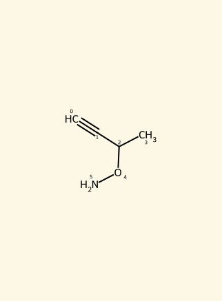 C#CC(C)ON